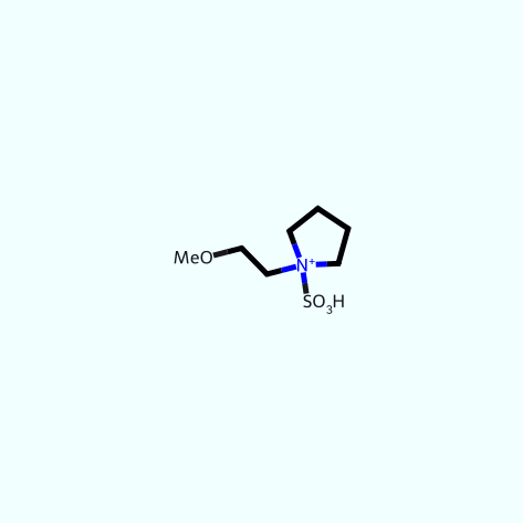 COCC[N+]1(S(=O)(=O)O)CCCC1